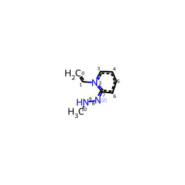 C=Cn1cccc/c1=N/NC